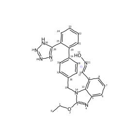 CCOc1nc2cccc(/C=N/O)c2n1Cc1ccc(-c2ccccc2-c2nnn[nH]2)cc1